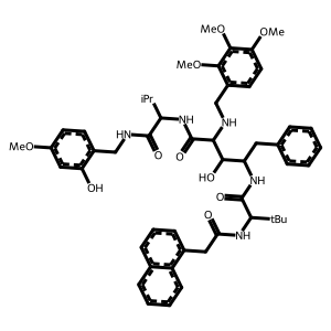 COc1ccc(CNC(=O)C(NC(=O)C(NCc2ccc(OC)c(OC)c2OC)C(O)C(Cc2ccccc2)NC(=O)C(NC(=O)Cc2cccc3ccccc23)C(C)(C)C)C(C)C)c(O)c1